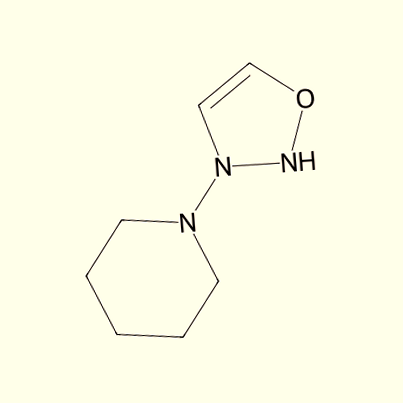 C1=CN(N2CCCCC2)NO1